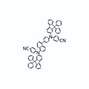 N#Cc1ccc(N(c2ccc(-c3cccc4c(N(c5ccc(C#N)cc5)c5ccc6c(c5)C(c5ccccc5)(c5ccccc5)c5ccccc5-6)cccc34)cc2)c2ccc3c(c2)C(c2ccccc2)(c2ccccc2)c2ccccc2-3)cc1